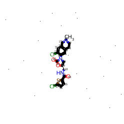 CN1CCc2cc(N3C[C@H](CNC(=O)c4ccc(Cl)s4)OC3=O)c(Cl)cc2C1